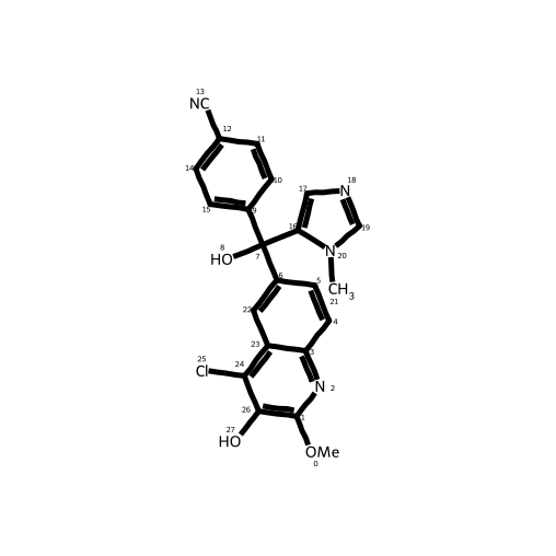 COc1nc2ccc(C(O)(c3ccc(C#N)cc3)c3cncn3C)cc2c(Cl)c1O